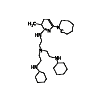 CC1CC=C(N2CCCCCC2)N=C1NCCN(CCNC1CCCCC1)CCNC1CCCCC1